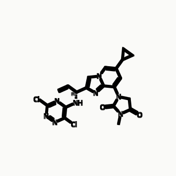 C=C[C@@H](Nc1nc(Cl)nnc1Cl)c1cn2cc(C3CC3)cc(N3CC(=O)N(C)C3=O)c2n1